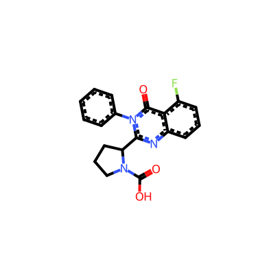 O=C(O)N1CCCC1c1nc2cccc(F)c2c(=O)n1-c1ccccc1